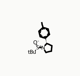 Cc1ccc([C@@H]2CCCN2[S@@+]([O-])C(C)(C)C)cc1